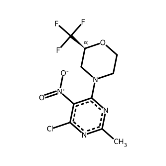 Cc1nc(Cl)c([N+](=O)[O-])c(N2CCO[C@H](C(F)(F)F)C2)n1